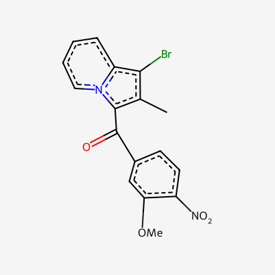 COc1cc(C(=O)c2c(C)c(Br)c3ccccn23)ccc1[N+](=O)[O-]